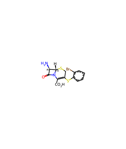 N[C@@H]1C(=O)N2C(C(=O)O)=C(Sc3ccccc3Br)CS[C@@H]12